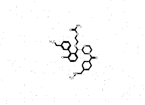 CCc1cccc(-c2c(Cl)cccc2C(OCCOC(N)=O)[C@H]2CN(C(=O)C3CCC(CNC)CC3)CCO2)c1